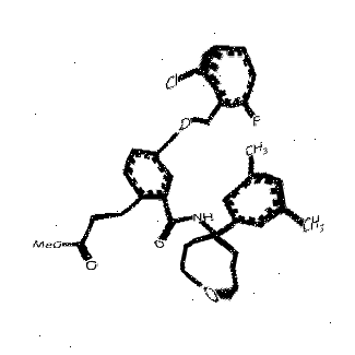 COC(=O)CCc1ccc(OCc2c(F)cccc2Cl)cc1C(=O)NC1(c2cc(C)cc(C)c2)CCOCC1